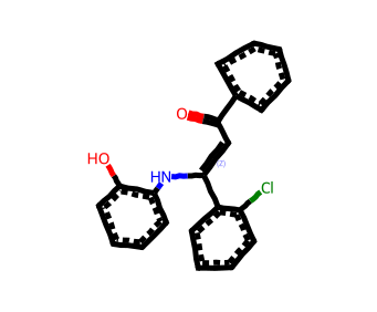 O=C(/C=C(\Nc1ccccc1O)c1ccccc1Cl)c1ccccc1